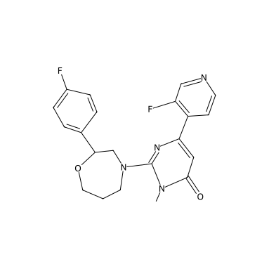 Cn1c(N2CCCOC(c3ccc(F)cc3)C2)nc(-c2ccncc2F)cc1=O